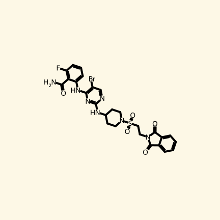 NC(=O)c1c(F)cccc1Nc1nc(NC2CCN(S(=O)(=O)CCN3C(=O)c4ccccc4C3=O)CC2)ncc1Br